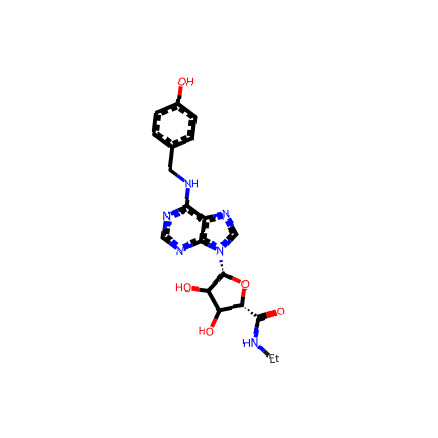 CCNC(=O)[C@H]1O[C@@H](n2cnc3c(NCc4ccc(O)cc4)ncnc32)C(O)C1O